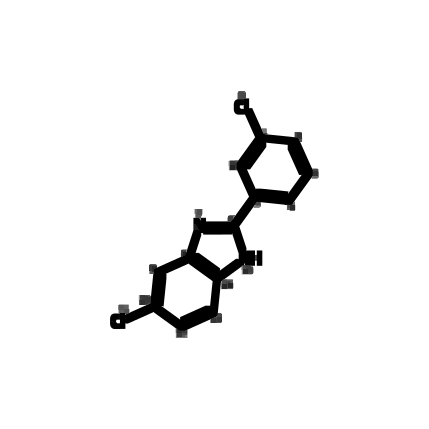 Clc1cccc(-c2nc3cc(Cl)ccc3[nH]2)c1